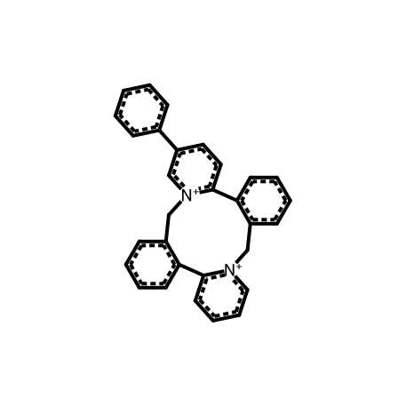 c1ccc(-c2ccc3[n+](c2)Cc2ccccc2-c2cccc[n+]2Cc2ccccc2-3)cc1